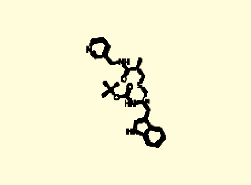 CC(CSC[C@H](Cc1c[nH]c2ccccc12)NC(=O)OC(C)(C)C)C(=O)NCc1cccnc1